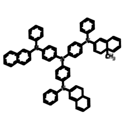 CC12C=CC=CC1=CC(N(c1ccccc1)c1ccc(N(c3ccc(N(C4=CCC5C=CC=CC5=C4)c4ccccc4)cc3)c3ccc(N(c4ccccc4)c4ccc5ccccc5c4)cc3)cc1)=CC2